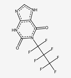 O=c1[nH]c2nc[nH]c2c(=O)n1C(F)(F)C(F)(F)C(F)(F)F